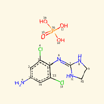 Nc1cc(Cl)c(N=C2NCCN2)c(Cl)c1.O=P(O)(O)O